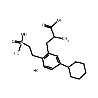 Cl.NC(Cc1cc(C2CCCCC2)ccc1CCP(=O)(O)O)C(=O)O